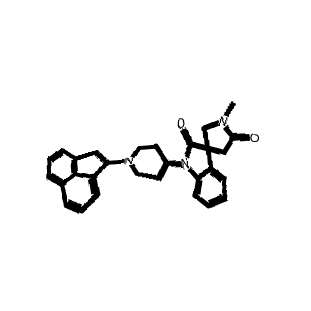 CN1CC2(CC1=O)C(=O)N(C1CCN(C3Cc4cccc5cccc3c45)CC1)c1ccccc12